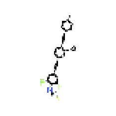 Cc1ccc(C#Cc2ccc(C#Cc3cc(F)c(N=C=S)c(F)c3)cc2C2CC2)cc1